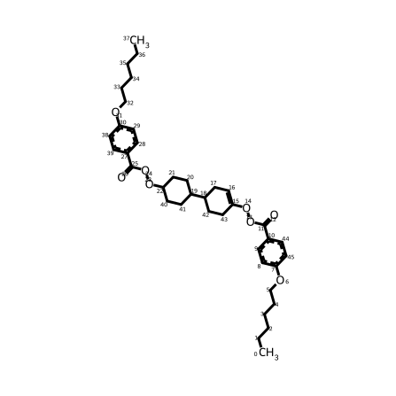 CCCCCCOc1ccc(C(=O)OOC2=CCC(C3CCC(OOC(=O)c4ccc(OCCCCCC)cc4)CC3)CC2)cc1